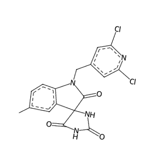 Cc1ccc2c(c1)C1(NC(=O)NC1=O)C(=O)N2Cc1cc(Cl)nc(Cl)c1